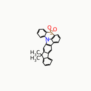 CC1(C)c2ccccc2-c2cc3c4cccc5c4n(c3cc21)-c1ccccc1S5(=O)=O